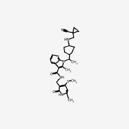 CSc1cc(C)[nH]c(=O)c1CNC(=O)c1c(C)n(C(C)C2CCC(NCC3(C#N)CC3)CC2)c2ncccc12